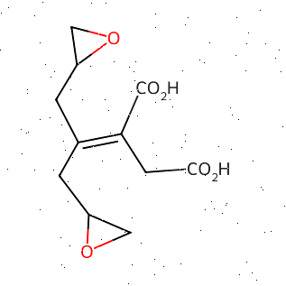 O=C(O)CC(C(=O)O)=C(CC1CO1)CC1CO1